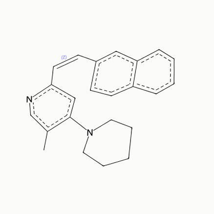 Cc1cnc(/C=C\c2ccc3ccccc3c2)cc1N1CCCCC1